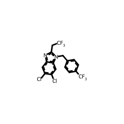 FC(F)(F)Cc1nc2cc(Cl)c(Cl)cc2n1Cc1ccc(C(F)(F)F)cc1